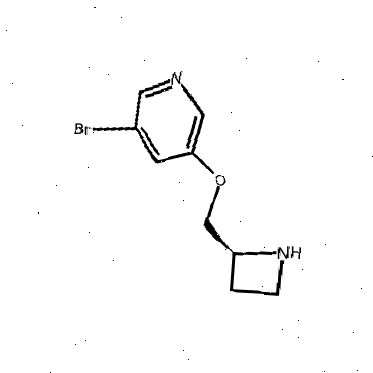 Brc1cncc(OC[C@@H]2CCN2)c1